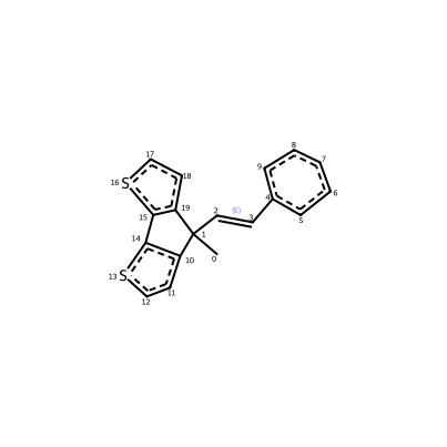 CC1(/C=C/c2ccccc2)c2ccsc2-c2sccc21